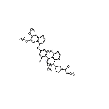 C=CC(=O)N1CCC(C(CC)c2ncnc(N)c2/C(=N\C)c2ccc(Oc3ccnc4cc(OC)c(OC)cc34)cc2F)C1